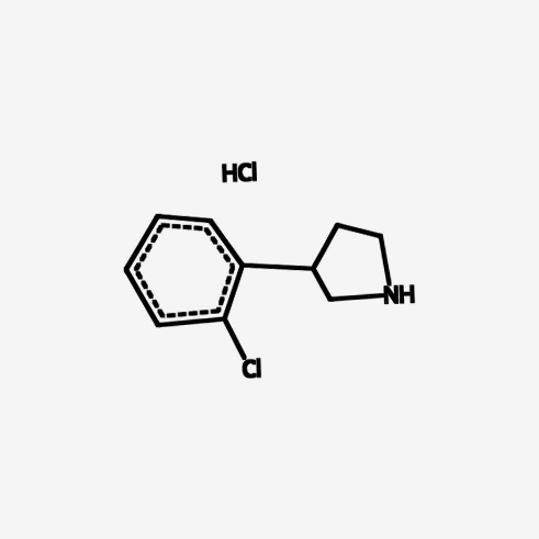 Cl.Clc1ccccc1C1CCNC1